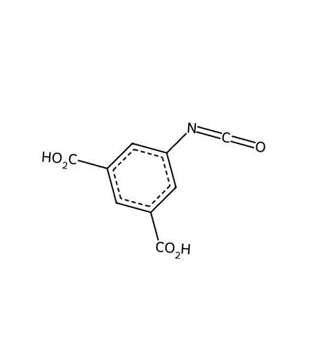 O=C=Nc1cc(C(=O)O)cc(C(=O)O)c1